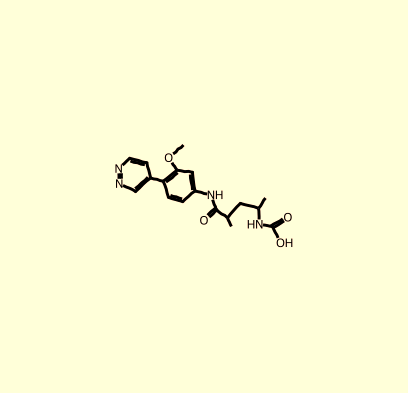 COc1cc(NC(=O)C(C)CC(C)NC(=O)O)ccc1-c1ccnnc1